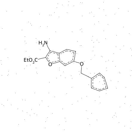 CCOC(=O)c1oc2cc(OCc3ccccc3)ccc2c1N